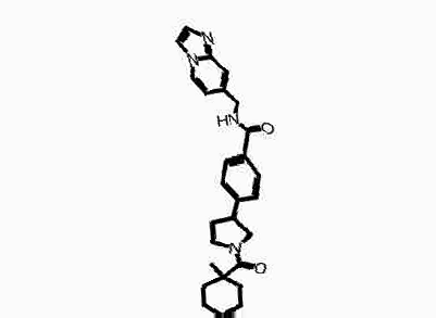 CC1(C(=O)N2CCC(c3ccc(C(=O)NCc4ccn5ccnc5c4)cc3)C2)CCCCC1